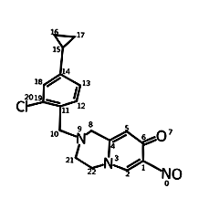 O=Nc1cn2c(cc1=O)CN(Cc1ccc(C3CC3)cc1Cl)CC2